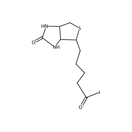 O=C(I)CCCCC1SCC2NC(=O)NC21